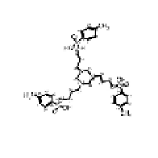 Cc1ccc(S(=O)(O)=[SH]CCCN2CN(CCC[SH]=S(=O)(O)c3ccc(C)cc3)CN(CCC[SH]=S(=O)(O)c3ccc(C)cc3)C2)cc1